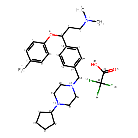 CN(C)CCC(Oc1ccc(C(F)(F)F)cc1)c1ccc(CN2CCN(C3CCCC3)CC2)cc1.O=C(O)C(F)(F)F